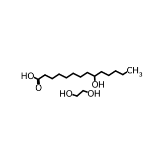 CCCCCC(O)CCCCCCCC(=O)O.OCCO